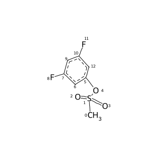 CS(=O)(=O)Oc1cc(F)cc(F)c1